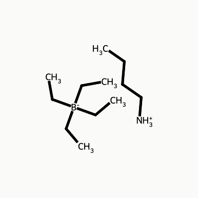 CCCC[NH3+].CC[B-](CC)(CC)CC